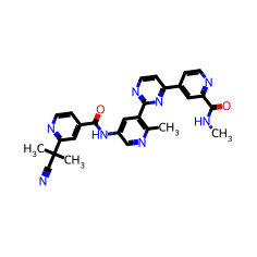 CNC(=O)c1cc(-c2ccnc(-c3cc(NC(=O)c4ccnc(C(C)(C)C#N)c4)cnc3C)n2)ccn1